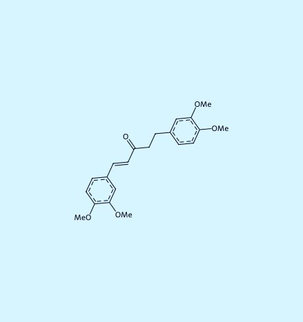 COc1ccc(C=CC(=O)CCc2ccc(OC)c(OC)c2)cc1OC